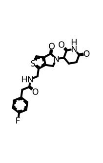 O=C(Cc1ccc(F)cc1)NCc1scc2c1CN(C1CCC(=O)NC1=O)C2=O